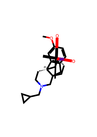 COc1ccc2c(c1)[C@]13CCN(CC4CC4)CC1(CC[C@@]1(C3)NC(=O)NC1=O)C2